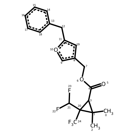 CC1(C)C(C(=O)OCc2coc(Cc3ccccc3)c2)C1(C(F)F)C(F)(F)F